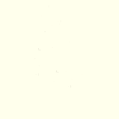 C=C(/C(Cl)=C\C=C/C)n1c(CO)cc(=O)c2c(CCC(O)CO)ncc(Cl)c21